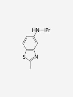 Cc1nc2cc(NC(C)C)ccc2s1